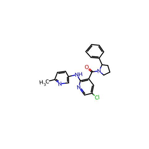 Cc1ccc(Nc2ncc(Cl)cc2C(=O)N2CCCC2c2ccccc2)cn1